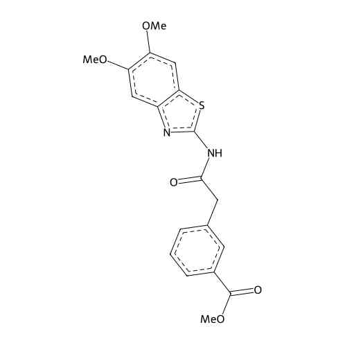 COC(=O)c1cccc(CC(=O)Nc2nc3cc(OC)c(OC)cc3s2)c1